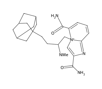 CNC(CCC12CC3CC(CC(C3)C1)C2)C[N+]12C=C(C(N)=O)N=C1C=CC=C2C(N)=O